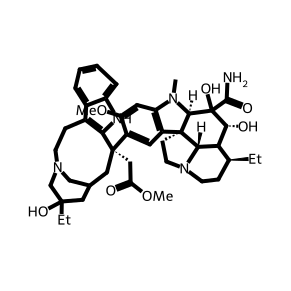 CC[C@H]1CCN2CC[C@]34c5cc([C@@]6(CC(=O)OC)CC7CN(CCc8c6[nH]c6ccccc86)CC(O)(CC)C7)c(OC)cc5N(C)[C@H]3C(O)(C(N)=O)[C@H](O)C1[C@H]24